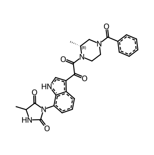 CC1NC(=O)N(c2cccc3c(C(=O)C(=O)N4CCN(C(=O)c5ccccc5)C[C@H]4C)c[nH]c23)C1=O